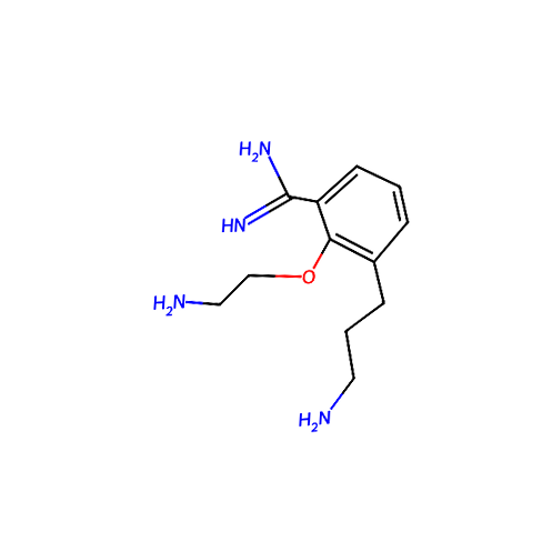 N=C(N)c1cccc(CCCN)c1OCCN